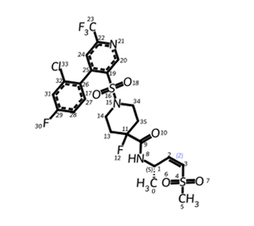 C[C@@H](/C=C\S(C)(=O)=O)NC(=O)C1(F)CCN(S(=O)(=O)c2cnc(C(F)(F)F)cc2-c2ccc(F)cc2Cl)CC1